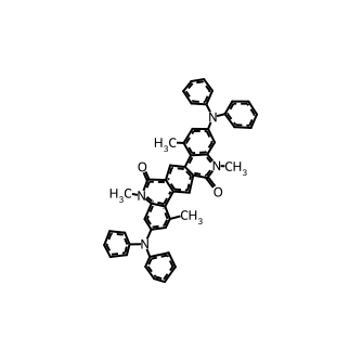 Cc1cc(N(c2ccccc2)c2ccccc2)cc2c1c1cc3c(=O)n(C)c4cc(N(c5ccccc5)c5ccccc5)cc(C)c4c3cc1c(=O)n2C